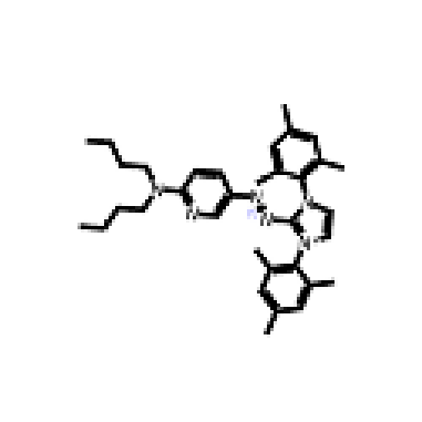 CCCCN(CCCC)c1ccc(/N=N/c2n(-c3c(C)cc(C)cc3C)cc[n+]2-c2c(C)cc(C)cc2C)cn1